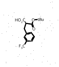 CC(C)(C)OC(=O)[C@@H](Cc1cccc(C(F)(F)F)c1)C(=O)O